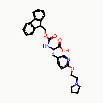 O=C(N[C@@H](Cc1ccc(OCCN2CCCC2)nc1)C(=O)O)OCC1c2ccccc2-c2ccccc21